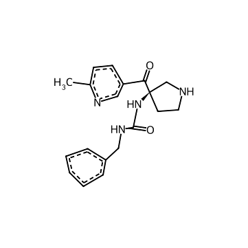 Cc1ccc(C(=O)[C@@]2(NC(=O)NCc3ccccc3)CCNC2)cn1